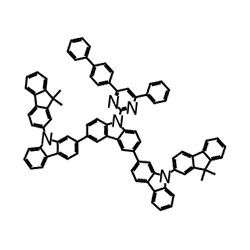 CC1(C)c2ccccc2-c2ccc(-n3c4ccccc4c4ccc(-c5ccc6c(c5)c5cc(-c7ccc8c9ccccc9n(-c9ccc%10c(c9)C(C)(C)c9ccccc9-%10)c8c7)ccc5n6-c5nc(-c6ccccc6)cc(-c6ccc(-c7ccccc7)cc6)n5)cc43)cc21